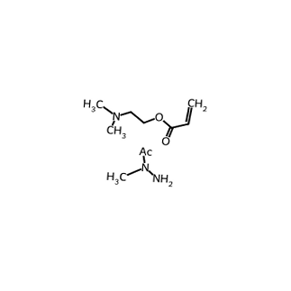 C=CC(=O)OCCN(C)C.CC(=O)N(C)N